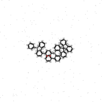 c1ccc(-c2ccccc2N(c2ccc(-c3cccc4c3c3ccccc3n4-c3ccccc3)cc2)c2cccc3c2-c2ccccc2C32c3ccccc3-c3ccccc32)cc1